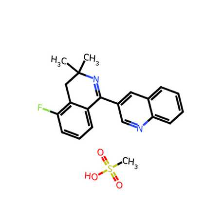 CC1(C)Cc2c(F)cccc2C(c2cnc3ccccc3c2)=N1.CS(=O)(=O)O